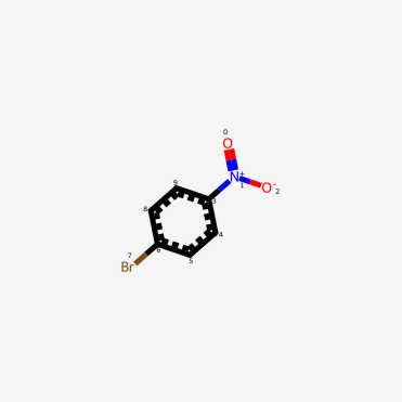 O=[N+]([O-])c1[c]cc(Br)cc1